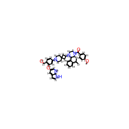 COc1ccc(C(=O)N2CCN(C3CC4(CCN(c5ccc(C=O)c(Oc6cnc7[nH]ccc7c6)c5)CC4)C3)C(c3ccccc3C(C)C)C2)cc1